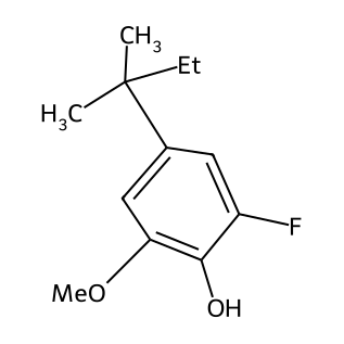 CCC(C)(C)c1cc(F)c(O)c(OC)c1